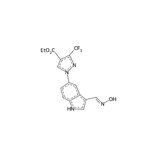 CCOC(=O)c1cn(-c2ccc3[nH]cc(C=NO)c3c2)nc1C(F)(F)F